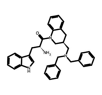 N[C@H](Cc1c[nH]c2ccccc12)C(=O)N1C[C@H](CN(Cc2ccccc2)Cc2ccccc2)Cc2ccccc21